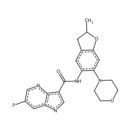 CC1Cc2cc(NC(=O)c3cnn4cc(F)cnc34)c(N3CCOCC3)cc2O1